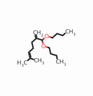 C=C(CCC=C(C)C)C(OCCCC)OCCCC